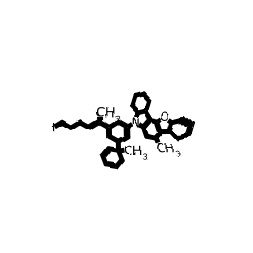 C/C(=C\CCCI)C1CC(N2C3=C(C4=C(C(C)C3)C3CCC=CC3O4)C3CCCCC32)=CC(C2(C)C=CC=CC2)C1